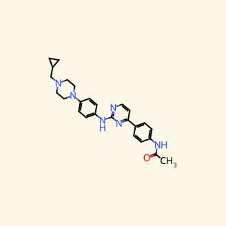 CC(=O)Nc1ccc(-c2ccnc(Nc3ccc(N4CCN(CC5CC5)CC4)cc3)n2)cc1